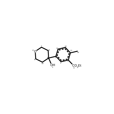 CCOC(=O)c1cc(C2(O)CCOCC2)ccc1C